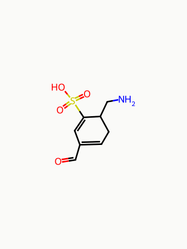 NCC1CC=C(C=O)C=C1S(=O)(=O)O